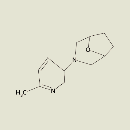 Cc1ccc(N2CC3CCC(C2)O3)cn1